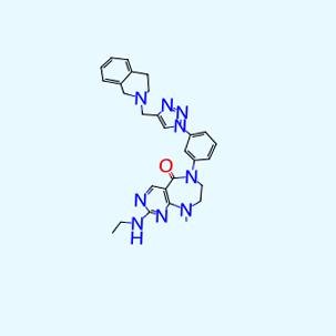 CCNc1ncc2c(n1)N(C)CCN(c1cccc(-n3cc(CN4CCc5ccccc5C4)nn3)c1)C2=O